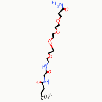 NC(=O)CCOCCOCCOCCOCCNC(=O)CNC(=O)CCC(=O)O